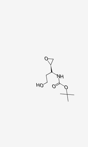 CC(C)(C)OC(=O)NC(CCO)[C@@H]1CO1